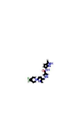 Cc1nc(N2CCC3C(CC2)C3(F)F)ccc1Cn1cc(C(=O)N[C@@H]2CCc3c2n[nH]c3C)cn1